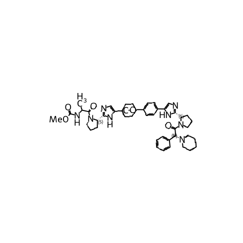 COC(=O)NC(C)C(=O)N1CCC[C@H]1c1ncc(C23CCC(c4ccc(-c5cnc([C@@H]6CCCN6C(=O)[C@@H](c6ccccc6)N6CCCCC6)[nH]5)cc4)(CC2)CC3)[nH]1